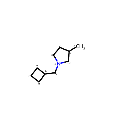 CC1CCN(CC2CCC2)C1